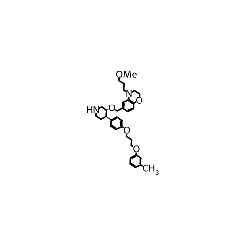 COCCCN1CCOc2ccc(CO[C@H]3CNCC[C@@H]3c3ccc(OCCCOc4cccc(C)c4)cc3)cc21